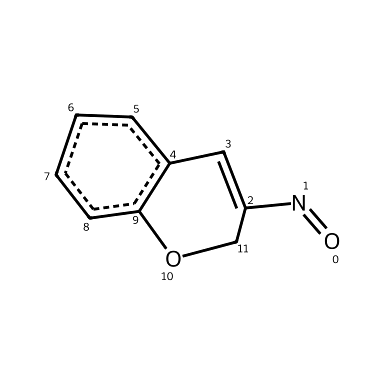 O=NC1=Cc2ccccc2OC1